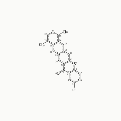 O=c1c2cc(F)ccc2sc2cc3cc4c(Cl)ccc(Cl)c4cc3cc12